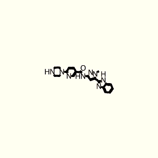 Cn1nc(NC(=O)c2ccc(N3CCNCC3)nc2)cc1-c1nc2ccccc2[nH]1